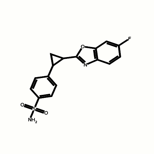 NS(=O)(=O)c1ccc(C2CC2c2nc3ccc(F)cc3o2)cc1